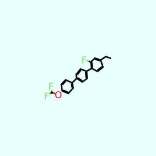 CCc1ccc(-c2ccc(-c3ccc(OC(F)F)cc3)cc2)c(F)c1